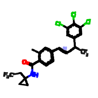 Cc1cc(/C=C/C(c2cc(Cl)c(Cl)c(Cl)c2)C(F)(F)F)ccc1C(=O)NC1(CC(F)(F)F)CC1